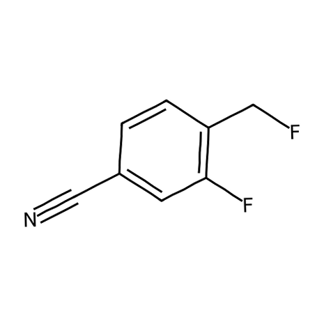 N#Cc1ccc(CF)c(F)c1